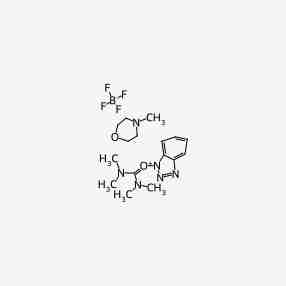 CN(C)C(=[O+]n1nnc2ccccc21)N(C)C.CN1CCOCC1.F[B-](F)(F)F